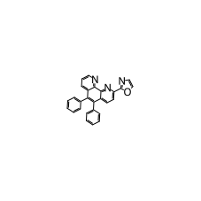 c1ccc(-c2c(-c3ccccc3)c3ccc(-c4ncco4)nc3c3ncccc23)cc1